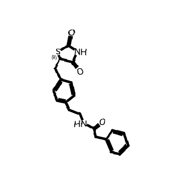 O=C(Cc1ccccc1)NCCc1ccc(C[C@H]2SC(=O)NC2=O)cc1